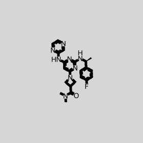 C[C@H](Nc1nc(Nc2cnccn2)cc(N2CC(C(=O)N(C)C)C2)n1)c1ccc(F)cc1